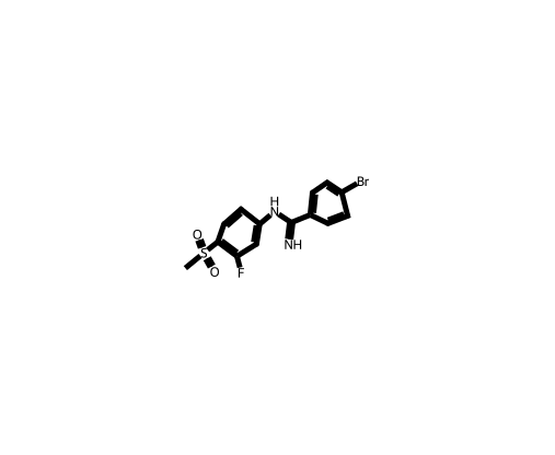 CS(=O)(=O)c1ccc(NC(=N)c2ccc(Br)cc2)cc1F